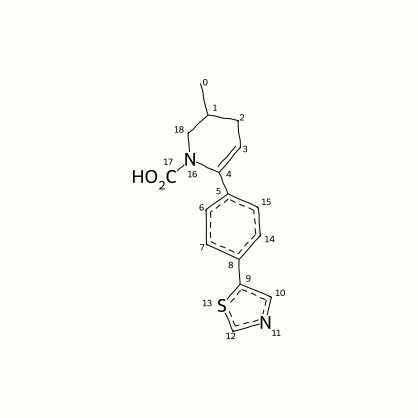 CC1CC=C(c2ccc(-c3cncs3)cc2)N(C(=O)O)C1